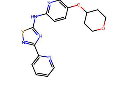 c1ccc(-c2nsc(Nc3ccc(OC4CCOCC4)cn3)n2)nc1